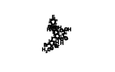 COc1c(Br)cc(CC2NCCc3cc(O)c(NS(=O)(=O)c4ccc(F)cc4)cc32)cc1Br.O=C(O)/C=C/C(=O)O